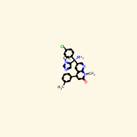 Cc1cccc(-c2cc(=O)n(C)c3ncc([C@](N)(c4ccc(Cl)cc4)c4cncn4C)cc23)c1